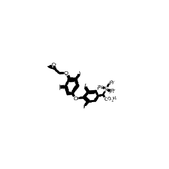 CC(C)[Si](C(C)C)(C(C)C)C(C(=O)O)c1cc(I)c(Oc2cc(I)c(OCC3CO3)c(I)c2)c(I)c1